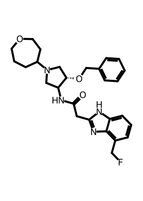 O=C(Cc1nc2c(CF)cccc2[nH]1)NC1CN(C2CCCOCC2)C[C@@H]1OCc1ccccc1